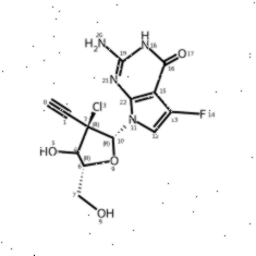 C#C[C@@]1(Cl)C(O)[C@@H](CO)O[C@H]1n1cc(F)c2c(=O)[nH]c(N)nc21